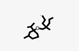 [CH2]CCC(C)(CCC)COC1(C(C)C)CCCC(C)C1